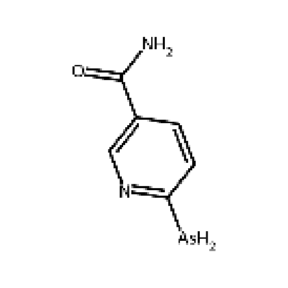 NC(=O)c1ccc([AsH2])nc1